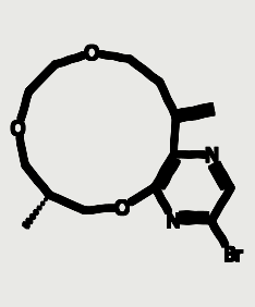 C=C1CCOCCOC[C@@H](C)COc2nc(Br)cnc21